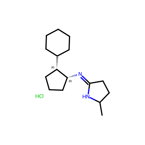 CC1CCC(=N[C@@H]2CCC[C@@H]2C2CCCCC2)N1.Cl